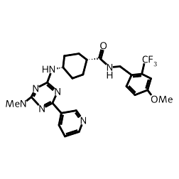 CNc1nc(N[C@H]2CC[C@@H](C(=O)NCc3ccc(OC)cc3C(F)(F)F)CC2)nc(-c2cccnc2)n1